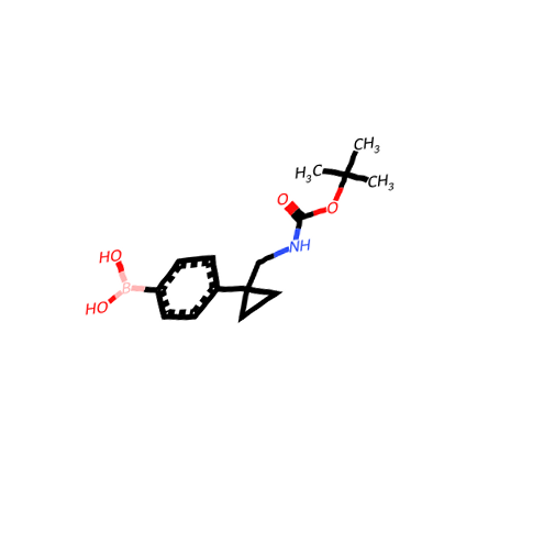 CC(C)(C)OC(=O)NCC1(c2ccc(B(O)O)cc2)CC1